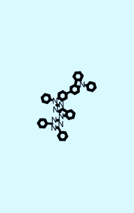 c1ccc(-c2nc(-c3ccccc3)nc(-n3c4ccccc4c4c3nc3n(-c5ccccc5)c5ccc(-c6ccc7c(c6)c6ccccc6n7-c6ccccc6)cc5n43)n2)cc1